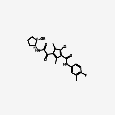 Cc1cc(NC(=O)c2c(C)c(C(=O)C(=O)N[C@@H]3CCC[C@@H]3O)n(C)c2Cl)ccc1F